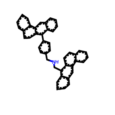 c1ccc2c(CNCc3ccc(-c4c5ccccc5cc5c4ccc4ccccc45)cc3)c3ccc4ccccc4c3cc2c1